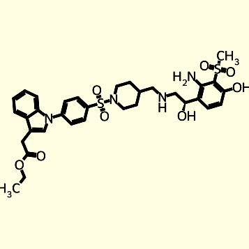 CCOC(=O)Cc1cn(-c2ccc(S(=O)(=O)N3CCC(CNC[C@H](O)c4ccc(O)c(S(C)(=O)=O)c4N)CC3)cc2)c2ccccc12